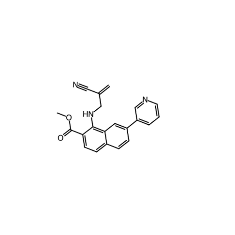 C=C(C#N)CNc1c(C(=O)OC)ccc2ccc(-c3cccnc3)cc12